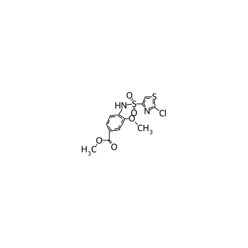 COC(=O)c1ccc(NS(=O)(=O)c2csc(Cl)n2)c(OC)c1